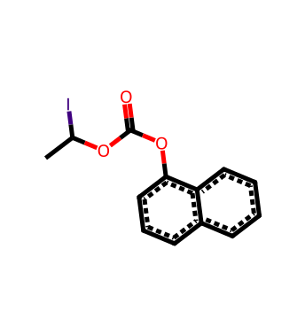 CC(I)OC(=O)Oc1cccc2ccccc12